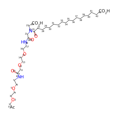 CC(=O)COCCOCCNC(=O)COCCOCCNC(=O)CN(CC(=O)O)C(=O)CCCCCCCCCCCCCCCCC(=O)O